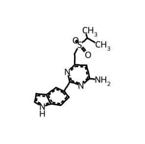 CC(C)S(=O)(=O)Cc1cc(N)nc(-c2ccc3[nH]ccc3c2)n1